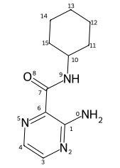 Nc1nccnc1C(=O)NC1CCCCC1